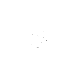 COC(=O)C(N)C1c2ccccc2N(Cc2csc3ccc(F)cc23)C1C(=O)O